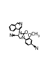 COc1cc(C#N)ccc1N1CC(C#N)N(c2cncc3ccccc23)C1=O